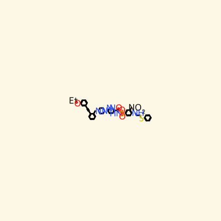 CCOc1cccc(C#Cc2ccccc2CN2CCN(c3ccc(C(=O)NS(=O)(=O)c4ccc(NCCSc5ccccc5)c([N+](=O)[O-])c4)nn3)CC2)c1